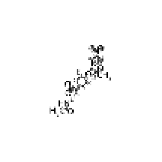 CC(=O)NCC1CN(c2ccc(OCC3(C)Cn4cc([N+](=O)[O-])nc4O3)c(F)c2)C(=O)O1